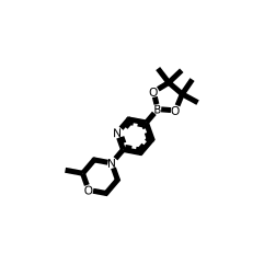 CC1CN(c2ccc(B3OC(C)(C)C(C)(C)O3)cn2)CCO1